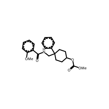 COC(=O)OC1CCC(CNC(=O)c2ccccc2OC)(c2ccccc2)CC1